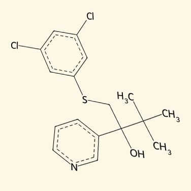 CC(C)(C)C(O)(CSc1cc(Cl)cc(Cl)c1)c1cccnc1